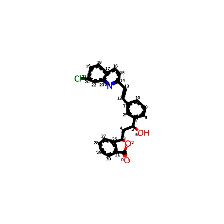 O=C1OC(CC(O)c2cccc(C=Cc3ccc4ccc(Cl)cc4n3)c2)c2ccccc21